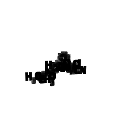 CN(C)CCNC(=O)c1ccc(CC(O)(C(=O)Nc2ccc(C#N)c(Cl)c2)c2ccccc2)cc1